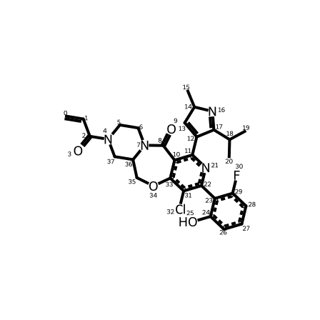 C=CC(=O)N1CCN2C(=O)c3c(C4=CC(C)N=C4C(C)C)nc(-c4c(O)cccc4F)c(Cl)c3OCC2C1